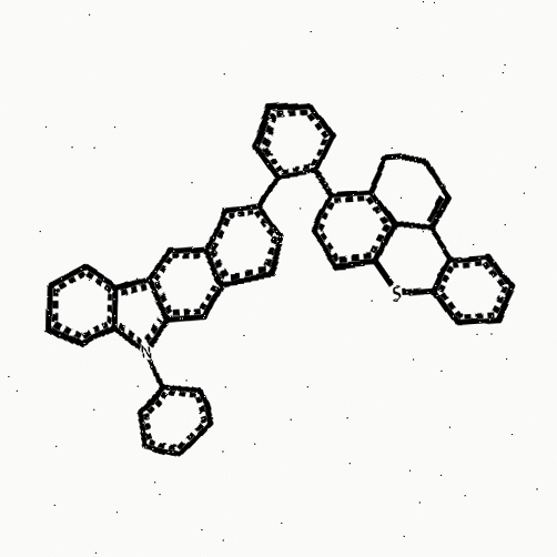 C1=C2c3ccccc3Sc3ccc(-c4ccccc4-c4ccc5cc6c(cc5c4)c4ccccc4n6-c4ccccc4)c(c32)CC1